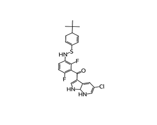 CC(C)(C)C1C=CC(SNc2ccc(F)c(C(=O)C3=CNC4NC=C(Cl)C=C34)c2F)=CC1